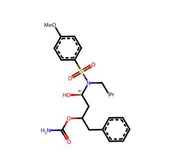 COc1ccc(S(=O)(=O)N(CC(C)C)[C@H](O)CC(Cc2ccccc2)OC(N)=O)cc1